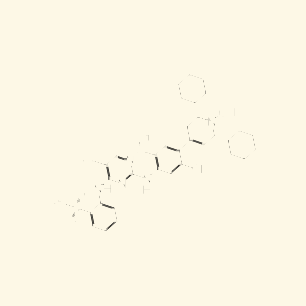 Cc1cc(Nc2ncc(Cl)c(Nc3ccccc3S(=O)(=O)C(C)C)n2)c(OC(C)C)cc1C1=C[C@@H](C2CCCCC2)N(C)[C@@H](C2CCCCC2)C1